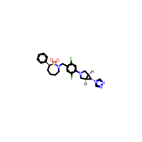 O=S1(=O)[C@H](c2ccccc2)CCCCN1Cc1cc(F)c(N2C[C@@H]3[C@H](C2)[C@H]3n2cnnc2)cc1F